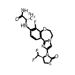 C[C@H](Nc1ccc2c(c1F)OCCn1cc(N3C(=O)SC[C@H]3C(F)F)nc1-2)C(N)=O